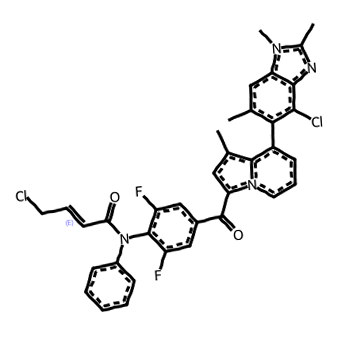 Cc1cc2c(nc(C)n2C)c(Cl)c1-c1cccn2c(C(=O)c3cc(F)c(N(C(=O)/C=C/CCl)c4ccccc4)c(F)c3)cc(C)c12